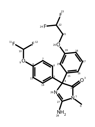 CN1C(=O)C(c2ccc(OC(F)F)cc2)(c2cccc(OCC(F)F)c2)N=C1N